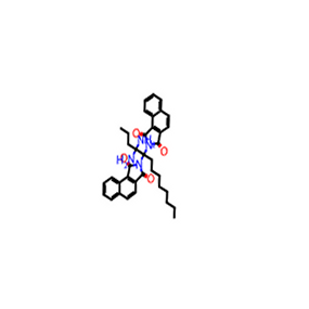 CCCCCCCCC(N1C(=O)c2ccc3ccccc3c2C1=O)(N1C(=O)c2ccc3ccccc3c2C1=O)C(N)(N)CCC